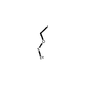 CCSOCI